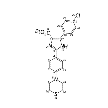 CCOC(=O)c1nc(-c2ccc(N3CCSCC3)cc2)[nH]c1-c1ccc(Cl)cc1